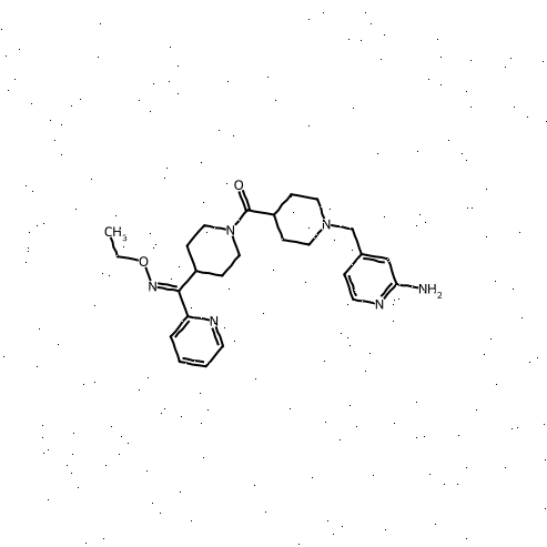 CCON=C(c1ccccn1)C1CCN(C(=O)C2CCN(Cc3ccnc(N)c3)CC2)CC1